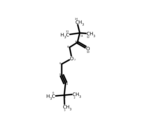 CC(C)(C)C#CCOCC(=O)C(C)(C)C